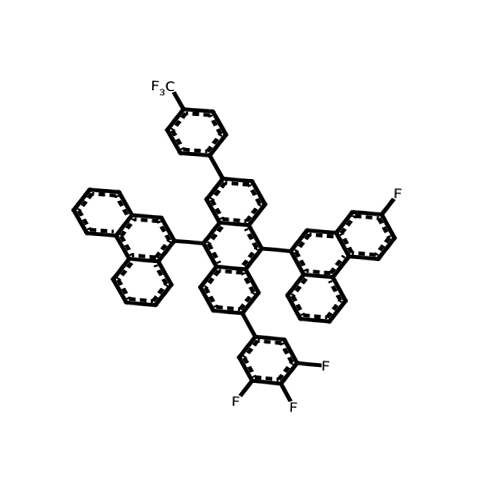 Fc1ccc2c(c1)cc(-c1c3ccc(-c4ccc(C(F)(F)F)cc4)cc3c(-c3cc4ccccc4c4ccccc34)c3ccc(-c4cc(F)c(F)c(F)c4)cc13)c1ccccc12